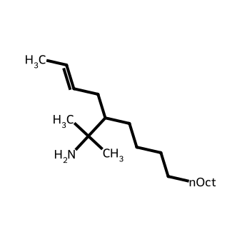 CC=CCC(CCCCCCCCCCCC)C(C)(C)N